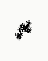 CC1(C)CN(C(=O)NC2CCOCC2)Cc2c(-c3cc4cccnc4n3COCC[Si](C)(C)C)c3c(N)ncnc3n21